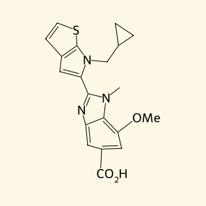 COc1cc(C(=O)O)cc2nc(-c3cc4ccsc4n3CC3CC3)n(C)c12